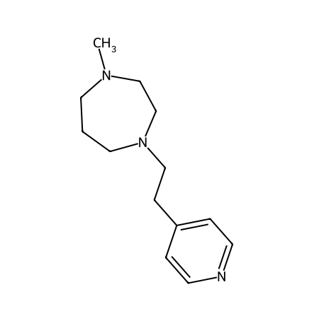 CN1CCCN(CCc2ccncc2)CC1